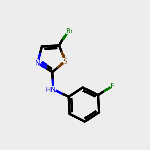 Fc1cccc(Nc2ncc(Br)s2)c1